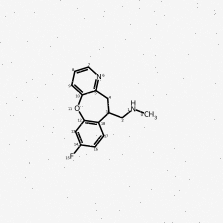 CNCC1Cc2ncccc2Oc2cc(F)ccc21